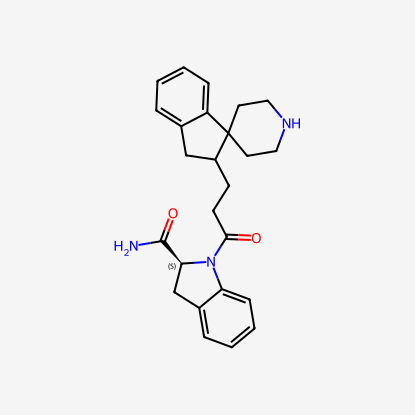 NC(=O)[C@@H]1Cc2ccccc2N1C(=O)CCC1Cc2ccccc2C12CCNCC2